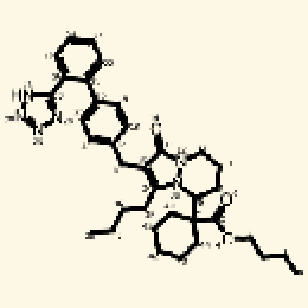 CCCCOC(=O)C1(C2CCCn3c(=O)c(Cc4ccc(-c5ccccc5-c5nnn[nH]5)cc4)c(CCCC)n32)CCCCC1